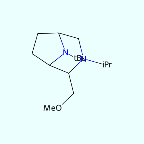 COCC1C2CCC(CN1C(C)C)N2C(C)(C)C